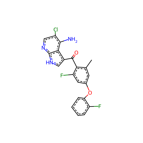 Cc1cc(Oc2ccccc2F)cc(F)c1C(=O)c1c[nH]c2ncc(Cl)c(N)c12